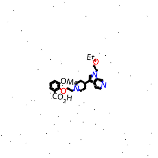 CCOCCn1cc(C2CCN(CCOc3c(OC)cccc3C(=O)O)CC2)c2ccncc21